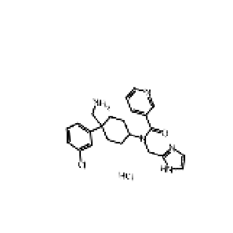 Cl.NCC1(c2cccc(Cl)c2)CCC(N(Cc2ncc[nH]2)C(=O)c2cccnc2)CC1